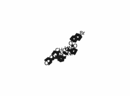 CC1(CNC(=O)[C@@H](Cc2ccccc2)NC(=O)C2(NC(=O)Oc3ccc4cc(Br)ccc4c3)CCCC2)CCN(CC2(C)CCOCC2)CC1